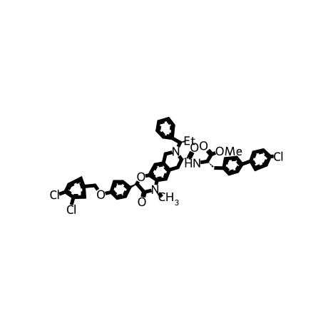 CC[C@@H](c1ccccc1)N1Cc2cc3c(cc2C[C@H]1C(=O)N[C@@H](Cc1ccc(-c2ccc(Cl)cc2)cc1)C(=O)OC)N(C)C(=O)[C@@H](c1ccc(OCc2ccc(Cl)c(Cl)c2)cc1)O3